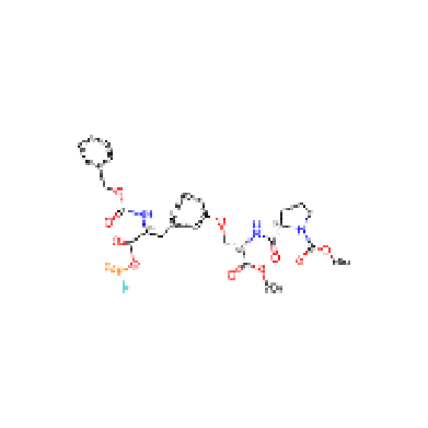 CCCCOC(=O)[C@H](COc1cccc(C[C@H](NC(=O)OCc2ccccc2)C(=O)OP(F)#P)c1)NC(=O)[C@@H]1CCCN1C(=O)OC(C)(C)C